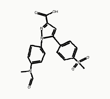 CN(C=O)c1ccc(-n2nc(C(=O)O)cc2-c2ccc(S(C)(=O)=O)cc2)cc1